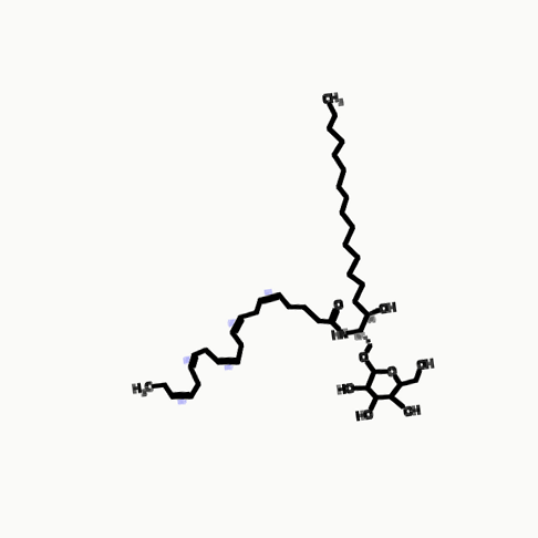 CC/C=C\C/C=C\C/C=C\C/C=C\C/C=C\CCCC(=O)N[C@@H](COC1OC(CO)C(O)C(O)C1O)[C@H](O)CCCCCCCCCCCCCCC